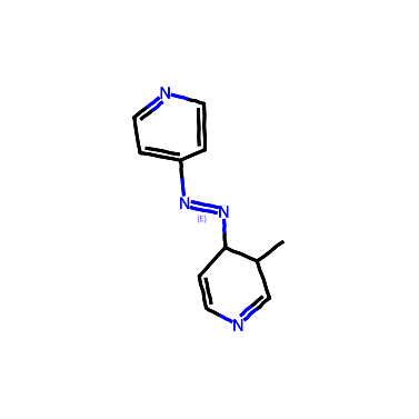 CC1C=NC=CC1/N=N/c1ccncc1